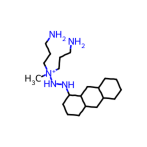 C[N+](CCCN)(CCCN)NNC1CCCC2CC3CCCCC3CC21